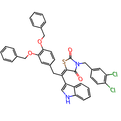 O=C1SC(=C(Cc2ccc(OCc3ccccc3)c(OCc3ccccc3)c2)c2c[nH]c3ccccc23)C(=O)N1Cc1ccc(Cl)c(Cl)c1